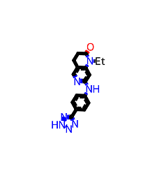 CCN1C(=O)CCc2cnc(Nc3ccc(-c4nn[nH]n4)cc3)cc21